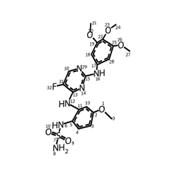 COc1ccc(NS(N)(=O)=O)c(Nc2nc(Nc3cc(OC)c(OC)c(OC)c3)ncc2F)c1